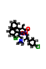 C=C(C(=O)N/C=C(\C)c1ccc(Cl)cc1)C(c1ccccc1)C(O)(CCN(C)C)C1=C=C=CC=C1Br